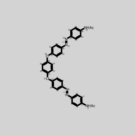 CC(=O)Nc1ccc(/N=N/c2ccc(Oc3ccc(Oc4ccc(/N=N/c5ccc(NC(C)=O)cc5)cc4)cc3)cc2)cc1